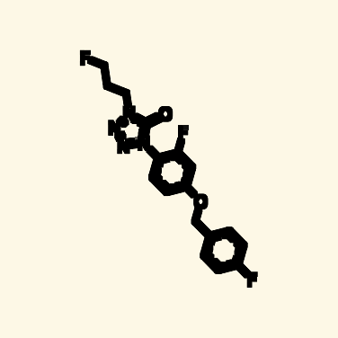 O=c1n(CCCF)nnn1-c1ccc(OCc2ccc(F)cc2)cc1F